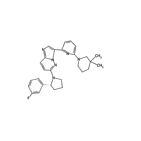 CC1(C)CCCN(c2cccc(-c3cnc4ccc(N5CCC[C@@H]5c5cccc(F)c5)nn34)n2)C1